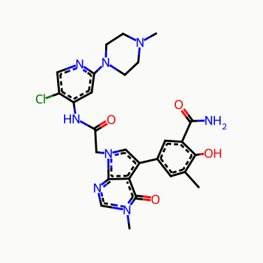 Cc1cc(-c2cn(CC(=O)Nc3cc(N4CCN(C)CC4)ncc3Cl)c3ncn(C)c(=O)c23)cc(C(N)=O)c1O